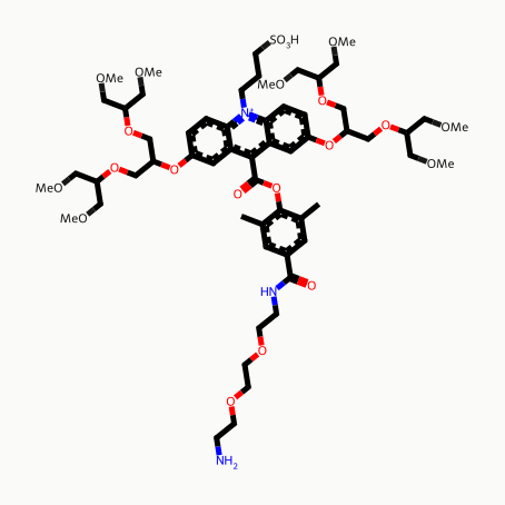 COCC(COC)OCC(COC(COC)COC)Oc1ccc2c(c1)c(C(=O)Oc1c(C)cc(C(=O)NCCOCCOCCN)cc1C)c1cc(OC(COC(COC)COC)COC(COC)COC)ccc1[n+]2CCCS(=O)(=O)O